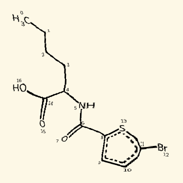 CCCCC(NC(=O)c1ccc(Br)s1)C(=O)O